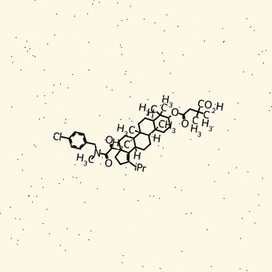 CC(C)C1=C2[C@H]3CC[C@@H]4[C@@]5(C)CC[C@H](OC(=O)CC(C)(C)C(=O)O)C(C)(C)[C@@H]5CC[C@@]4(C)[C@]3(C)CC[C@@]2(C(=O)C(=O)N(C)Cc2ccc(Cl)cc2)CC1